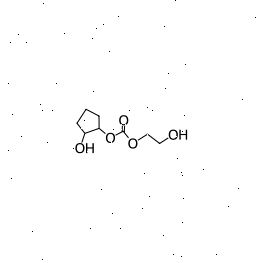 O=C(OCCO)OC1CCCC1O